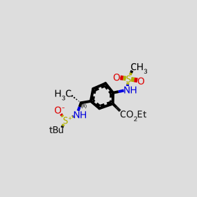 CCOC(=O)c1cc([C@@H](C)N[S+]([O-])C(C)(C)C)ccc1NS(C)(=O)=O